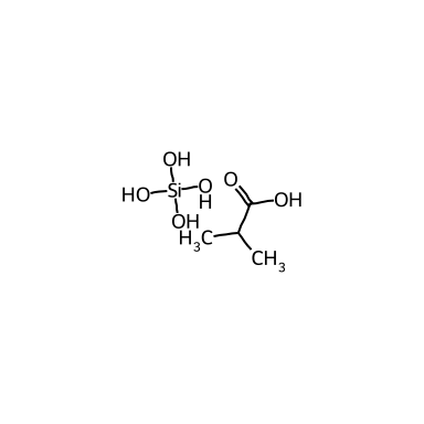 CC(C)C(=O)O.O[Si](O)(O)O